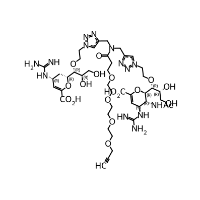 C#CCOCCOCCOCCOCCC(=O)N(Cc1cn(CCO[C@H]([C@H](O)CO)[C@H]2C[C@@H](NC(=N)N)C=C(C(=O)O)O2)nn1)Cc1cn(CCO[C@@H]([C@@H]2OC(C(=O)O)=C[C@H](NC(=N)N)[C@H]2NC(C)=O)[C@H](O)CO)nn1